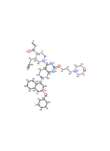 C=CC(=O)N1CCN(c2nc(OCCCN3CCOCC3)nc3c2CCN(c2cc(Oc4ccccc4)cc4ccccc24)C3)CC1CC#N